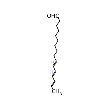 CC=C/C=C/C=C/CCCCCCCCC=O